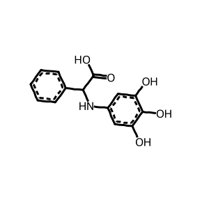 O=C(O)C(Nc1cc(O)c(O)c(O)c1)c1ccccc1